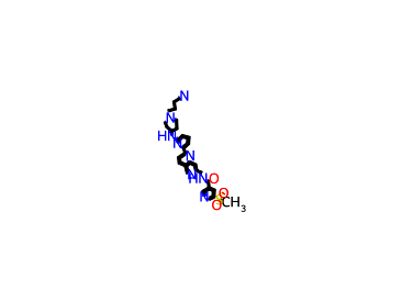 CS(=O)(=O)c1cncc(C(=O)NCc2cc3nc(-c4cccc(NC5CCN(CCCC#N)CC5)n4)ccc3cn2)c1